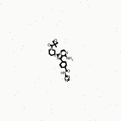 CC1(C(=O)N2CCC[C@@H](c3nc(-c4ccc(C(=O)Nc5ncns5)cc4)c4c(N)nccn34)C2)COC1